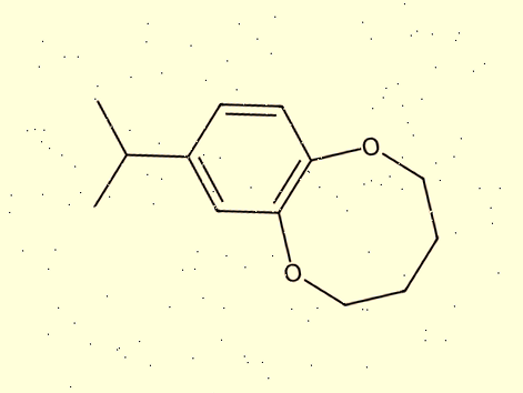 CC(C)c1ccc2c(c1)OCCCCO2